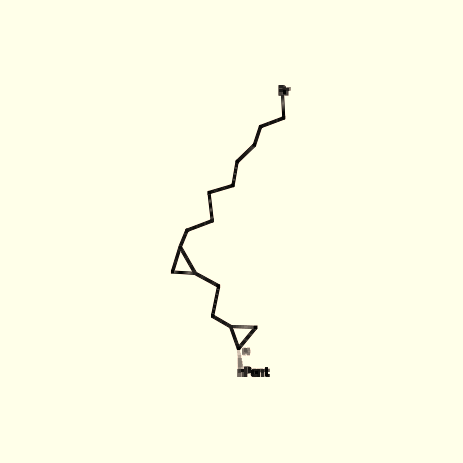 CCCCC[C@H]1CC1CCC1CC1CCCCCCCCBr